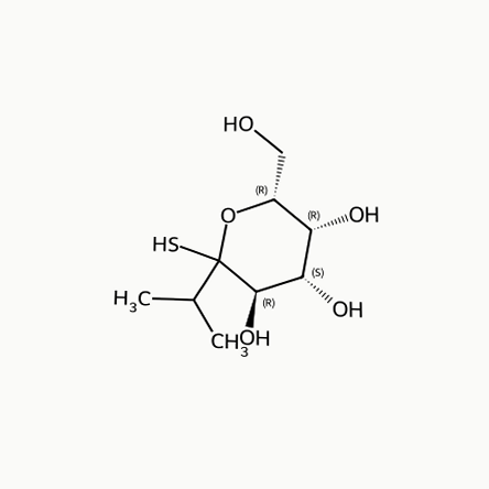 CC(C)C1(S)O[C@H](CO)[C@H](O)[C@H](O)[C@H]1O